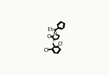 CC[C@H](c1ccccc1)N1CC[C@H](Cc2c(Cl)cccc2Cl)C1=O